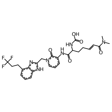 CN(C)C(=O)/C=C/CCC(NC(=O)O)C(=O)Nc1cccn(Cc2nc3c(CCC(F)(F)F)cccc3[nH]2)c1=O